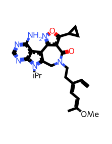 C=C/C(=C\C=C(/C)OC)CCN1Cc2c(c3c(N)ncnc3n2C(C)C)-c2noc(C3CC3)c2C1=O